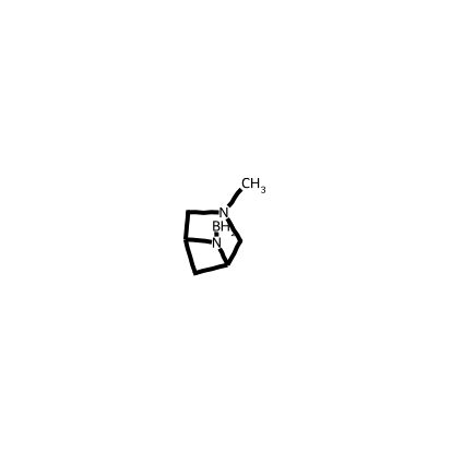 BN1C2CC1CN(C)C2